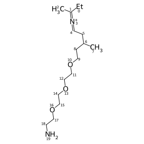 CCC(C)=[N+]=CCC(C)CCOCCOCCOCCN